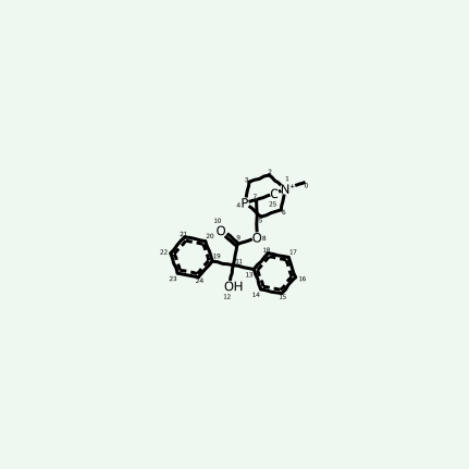 C[N+]12CCP(CC1)C(OC(=O)C(O)(c1ccccc1)c1ccccc1)C2